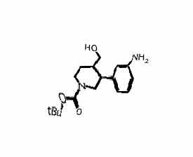 CC(C)(C)OC(=O)N1CCC(CO)[C@@H](c2cccc(N)c2)C1